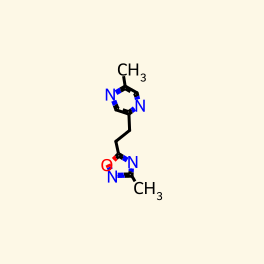 Cc1cnc(CCc2nc(C)no2)cn1